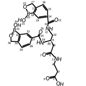 O=C(O)CCNC(=O)C[C@H](CNC(=O)c1ccc2c(c1)B(O)OC2)NC(=O)c1ccc2c(c1)B(O)OC2